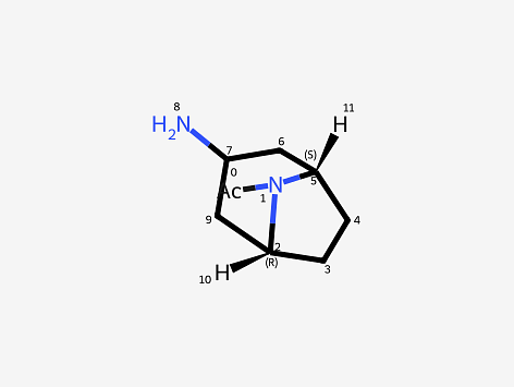 CC(=O)N1[C@@H]2CC[C@H]1CC(N)C2